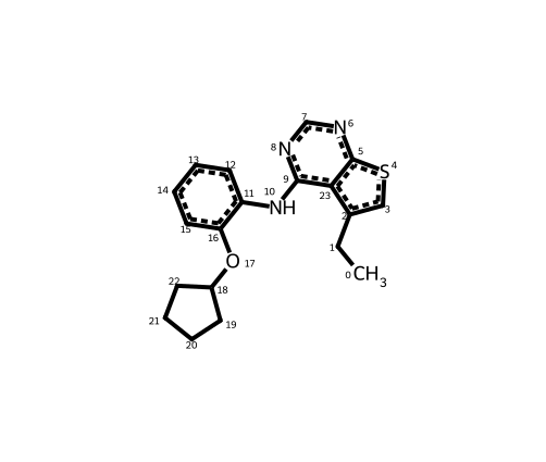 CCc1csc2ncnc(Nc3ccccc3OC3CCCC3)c12